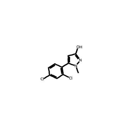 Cn1nc(O)cc1-c1ccc(Cl)cc1Cl